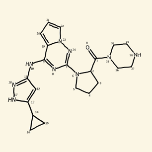 O=C(C1CCCN1c1nc(Nc2cc(C3CC3)[nH]n2)c2cccn2n1)N1CCNCC1